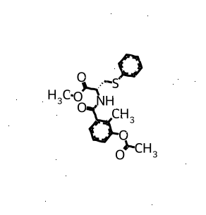 COC(=O)[C@H](CSc1ccccc1)NC(=O)c1cccc(OC(C)=O)c1C